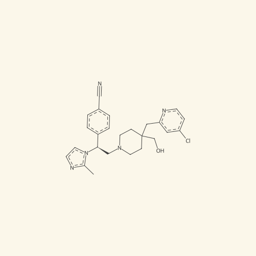 Cc1nccn1[C@H](CN1CCC(CO)(Cc2cc(Cl)ccn2)CC1)c1ccc(C#N)cc1